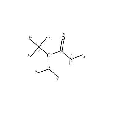 CCC.CNC(=O)OC(C)(C)C